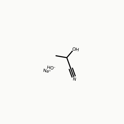 CC(O)C#N.[Na+].[OH-]